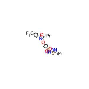 CC(C)c1nnc(NS(=O)(=O)c2ccc(OCc3nc(-c4ccc(C(F)(F)F)cc4)oc3C(C)C)cc2)s1